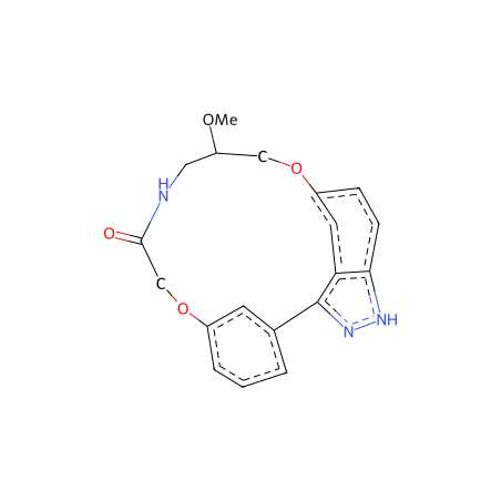 COC1CNC(=O)COc2cccc(c2)-c2n[nH]c3ccc(cc23)OC1